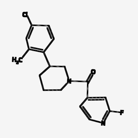 Cc1cc(Cl)ccc1C1CCCN(C(=O)c2ccnc(F)c2)C1